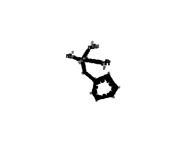 CCCC[N+](CCC)(CCCC)Cc1ccccc1